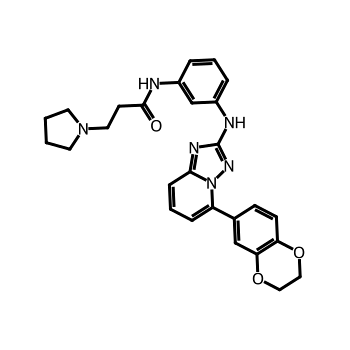 O=C(CCN1CCCC1)Nc1cccc(Nc2nc3cccc(-c4ccc5c(c4)OCCO5)n3n2)c1